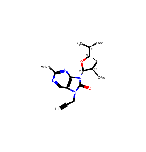 C#CCn1c(=O)n([C@@H]2O[C@H]([C@H](OC(C)=O)C(F)(F)F)C[C@H]2OC(C)=O)c2nc(NC(C)=O)ncc21